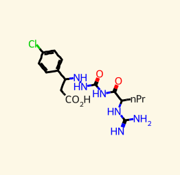 CCCC(NC(=N)N)C(=O)NC(=O)NNC(CC(=O)O)c1ccc(Cl)cc1